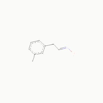 Cc1cccc(CC=NO)c1